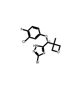 CC1([C@H](Oc2ccc(F)c(Cl)c2)c2nc(Br)n[nH]2)COC1